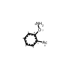 CC(=O)c1ccccc1ON